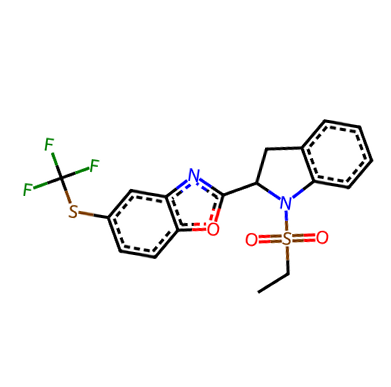 CCS(=O)(=O)N1c2ccccc2CC1c1nc2cc(SC(F)(F)F)ccc2o1